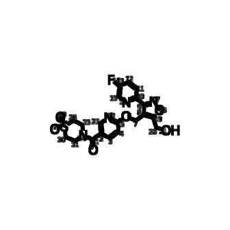 O=C(c1ccc(OCc2c(-c3ccc(F)cn3)noc2CO)nc1)N1CCS(=O)(=O)CC1